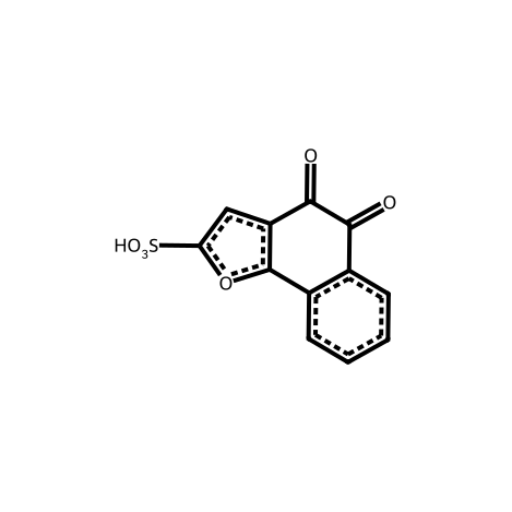 O=C1C(=O)c2cc(S(=O)(=O)O)oc2-c2ccccc21